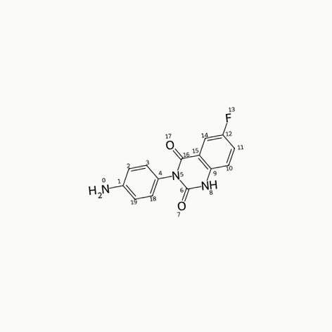 Nc1ccc(-n2c(=O)[nH]c3ccc(F)cc3c2=O)cc1